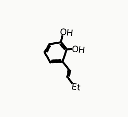 CCC=Cc1cccc(O)c1O